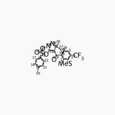 CSc1cc(C(F)(F)F)ccc1C(=O)C1=C(OS(=O)(=O)c2ccc(C)cc2)N=NC1(C)C1CC1